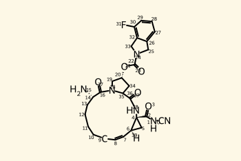 N#CNC(=O)[C@@]12C[C@H]1/C=C\CCCCC[C@H](N)C(=O)N1C[C@H](OC(=O)N3Cc4cccc(F)c4C3)CC1C(=O)N2